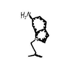 CC(C)Cn1ccc2ccc(N)cc21